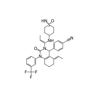 CC=C1CCCC2=C1C(c1ccc(C#N)cc1)N(C(=CC)NC1CCS(=N)(=O)CC1)C(=O)N2c1cccc(C(F)(F)F)c1